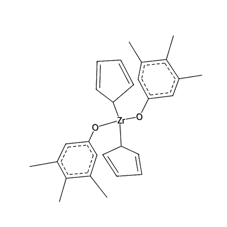 Cc1cc([O][Zr]([O]c2cc(C)c(C)c(C)c2)([CH]2C=CC=C2)[CH]2C=CC=C2)cc(C)c1C